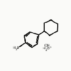 Bc1ccc(C2CCCCC2)cc1.O.O